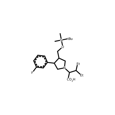 CCC(CC)C(C(=O)O)N1CC(CO[Si](C)(C)C(C)(C)C)C(c2cccc(F)c2)C1